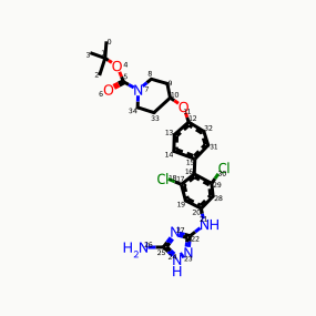 CC(C)(C)OC(=O)N1CCC(Oc2ccc(-c3c(Cl)cc(Nc4n[nH]c(N)n4)cc3Cl)cc2)CC1